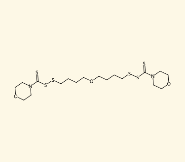 S=C(SSCCCCOCCCCSSC(=S)N1CCOCC1)N1CCOCC1